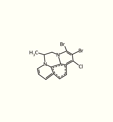 CC1CN2C(Br)=C(Br)C(Cl)=c3ccc4c(c32)N1C=CC=4